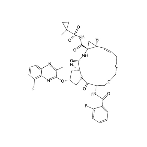 Cc1nc2cccc(F)c2nc1O[C@@H]1C[C@H]2C(=O)N[C@]3(C(=O)NS(=O)(=O)C4(C)CC4)C[C@H]3C=CCCCCC[C@H](NC(=O)c3ccccc3F)C(=O)N2C1